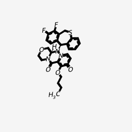 CCCCOc1c2n(ccc1=O)N([C@@H]1c3ccccc3SCc3c1ccc(F)c3F)[C@@H]1COCCN1C2=O